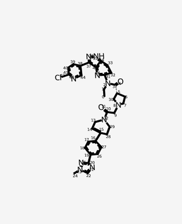 CCN(C(=O)[C@@H]1CCN(CC(=O)N2CC=C(c3ccc(-c4ncn(C)n4)cc3)CC2)C1)c1ccc2[nH]nc(-c3ccc(Cl)nc3)c2n1